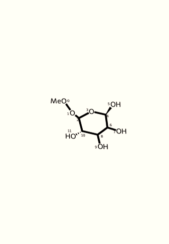 COOC1O[C@@H](O)C(O)C(O)[C@@H]1O